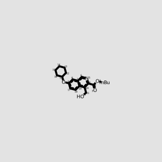 CCCCOC(=O)c1ncc2cc(OC3CCCCC3)ccc2c1CO